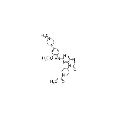 C=CC(=O)N1CCC(n2c(=O)cnc3cnc(Nc4ccc(N5CCN(C)CC5)cc4OC)nc32)CC1